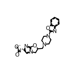 O=[N+]([O-])c1cn2c(n1)OC(CN1CCN(c3nc4ccccc4o3)CC1)C2